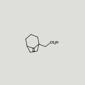 CCOC(=O)CC12CCCC(CC1)N2